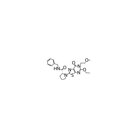 CCOc1nc2sc(N3CCC[C@@H]3C(=O)NCc3ccccc3)nc2c(=O)n1CCOC